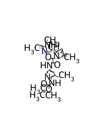 C=C(/C=N\C(=C/C)NC)[C@@H]1CC[C@@H](C)CN1C(=O)C(=O)Nc1cnc(NC(=O)OC(C)(C)C)c(CC)c1